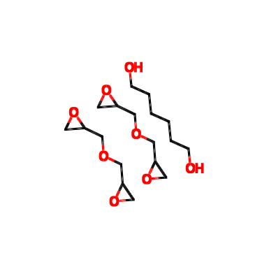 C(OCC1CO1)C1CO1.C(OCC1CO1)C1CO1.OCCCCCCO